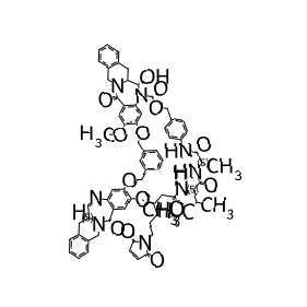 COc1cc2c(cc1OCc1cccc(COc3cc4c(cc3OC)C(=O)N3Cc5ccccc5CC3C(O)N4C(=O)OCc3ccc(NC(=O)[C@H](C)NC(=O)[C@@H](NC(=O)CCCCCN4C(=O)C=CC4=O)C(C)C)cc3)c1)N=C[C@@H]1Cc3ccccc3CN1C2=O